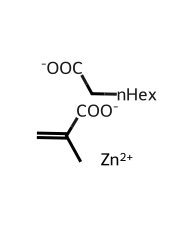 C=C(C)C(=O)[O-].CCCCCCCC(=O)[O-].[Zn+2]